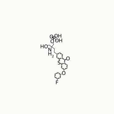 NC(CO)(CCc1ccc2c(=O)c3ccc(Oc4cccc(F)c4)cc3sc2c1)COP(=O)(O)O